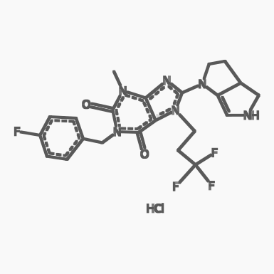 Cl.Cn1c(=O)n(Cc2ccc(F)cc2)c(=O)c2c1nc(N1CCC3CNC=C31)n2CCC(F)(F)F